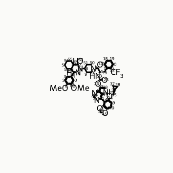 COc1ccc(C2=NN(C3CCN(C(=O)[C@@H](Cc4ccccc4C(F)(F)F)NC(=O)Oc4c[nH]c5c(-c6c(OCC7CC7)ccc7c6OCO7)ncnc45)CC3)C(=O)[C@@H]3CCCC[C@H]23)cc1OC